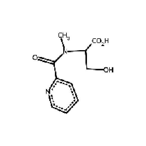 CN(C(=O)c1ccccn1)C(CO)C(=O)O